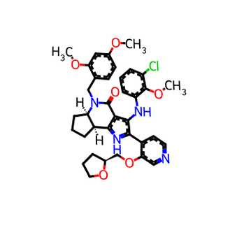 COc1ccc(CN2C(=O)c3c([nH]c(-c4ccncc4OC[C@@H]4CCCO4)c3Nc3cccc(Cl)c3OC)[C@H]3CCC[C@H]32)c(OC)c1